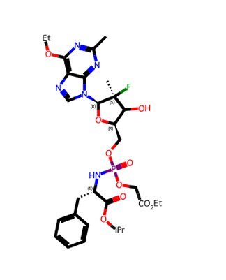 CCOC(=O)COP(=O)(N[C@@H](Cc1ccccc1)C(=O)OC(C)C)OC[C@H]1O[C@@H](n2cnc3c(OCC)nc(C)nc32)[C@@](C)(F)C1O